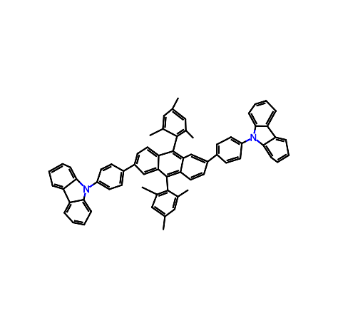 Cc1cc(C)c(-c2c3ccc(-c4ccc(-n5c6ccccc6c6ccccc65)cc4)cc3c(-c3c(C)cc(C)cc3C)c3ccc(-c4ccc(-n5c6ccccc6c6ccccc65)cc4)cc23)c(C)c1